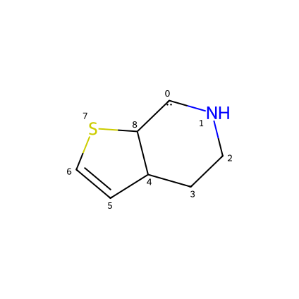 [C]1NCCC2C=CSC12